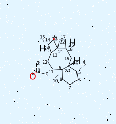 CC(C)=O.C[C@@H]1CCC[C@@]2(C)CC[C@H]3[C@H](C)CC[C@@H](C[C@H]12)C3(C)C